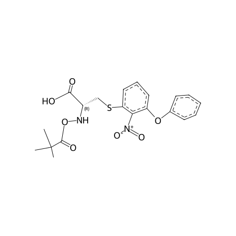 CC(C)(C)C(=O)ON[C@@H](CSc1cccc(Oc2ccccc2)c1[N+](=O)[O-])C(=O)O